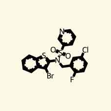 O=S(=O)(c1cccnc1)N(Cc1cc(Cl)ccc1F)c1sc2ccccc2c1Br